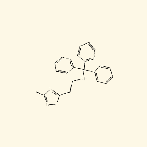 Cc1noc(CCNC(c2ccccc2)(c2ccccc2)c2ccccc2)n1